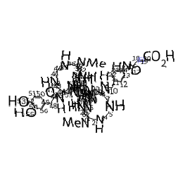 CNC12CNCCNCC(NCc3ccc(NC(=O)/C=C/C(=O)O)cc3)(CNCCNC1)CNC(C1CNCC3(NC)CNCCNCC(NC(=O)Cc4ccc(O)c(O)c4)(CNCCNC3)CN1)CNC2